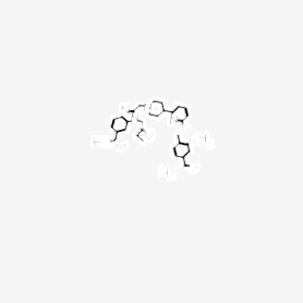 CC(=O)c1ccc(COc2cccc(C3CCN(Cc4nc5ccc(C(=O)O)cc5n4C[C@@H]4CCO4)CC3)n2)c(C)c1